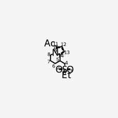 CCS(=O)(=O)CC1CCCn2c(C(C)=O)ccc21